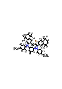 Cc1cc2c3c(c1)N(c1ccc(C(C)(C)C)cc1)c1c(sc4cc5c(cc14)C(C)(C)CCC5(C)C)B3c1cc3c(cc1N2c1ccc(C(C)(C)C)cc1C)C(C)(C)CCC3(C)C